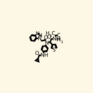 CC(C)NC(=O)C(c1ccsc1)N(C(=O)Cn1nnc2ccccc21)c1ccc(NC(=O)C2CC2)cc1